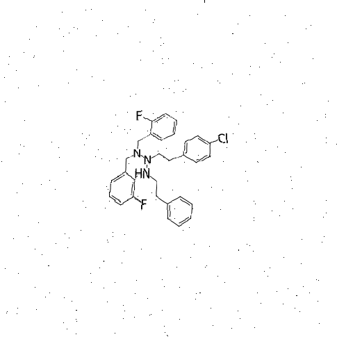 Fc1cccc(CN(Cc2ccccc2F)N(CCc2ccc(Cl)cc2)NCCc2ccccc2)c1